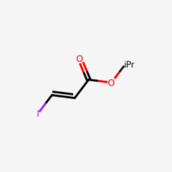 CC(C)OC(=O)C=CI